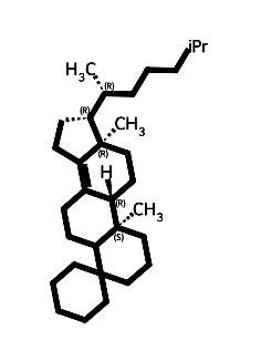 CC(C)CCC[C@@H](C)[C@H]1CCC2=C3CCC4C5(CCCCC5)CCC[C@]4(C)[C@H]3CC[C@@]21C